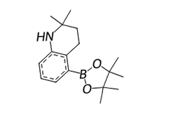 CC1(C)CCc2c(cccc2B2OC(C)(C)C(C)(C)O2)N1